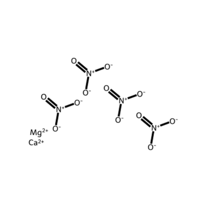 O=[N+]([O-])[O-].O=[N+]([O-])[O-].O=[N+]([O-])[O-].O=[N+]([O-])[O-].[Ca+2].[Mg+2]